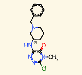 Cn1c(Cl)nnc(N[C@@H]2CCCN(Cc3ccccc3)C2)c1=O